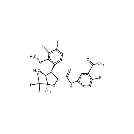 COc1c([C@H]2[C@H](C(=O)Nc3ccc(F)c(C(C)=O)c3)O[C@@](C)(C(F)(F)F)[C@H]2C)ccc(F)c1F